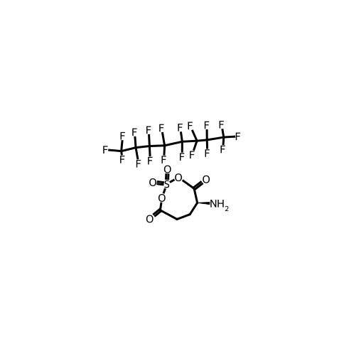 FC(F)(F)C(F)(F)C(F)(F)C(F)(F)C(F)(F)C(F)(F)C(F)(F)C(F)(F)F.N[C@H]1CCC(=O)OS(=O)(=O)OC1=O